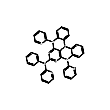 c1ccc(N(c2ccccn2)c2nc3c4c(n2)N(c2ccccn2)c2ccccc2B4c2ccccc2N3c2ccccn2)cc1